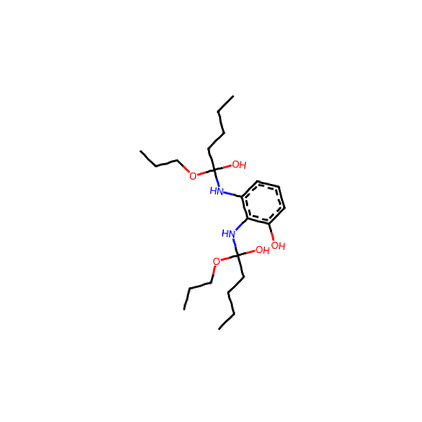 CCCCC(O)(Nc1cccc(O)c1NC(O)(CCCC)OCCC)OCCC